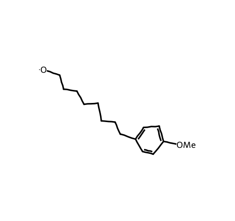 COc1ccc(CCCCCCCC[O])cc1